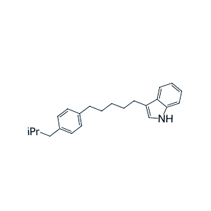 CC(C)Cc1ccc(CCCCCc2c[nH]c3ccccc23)cc1